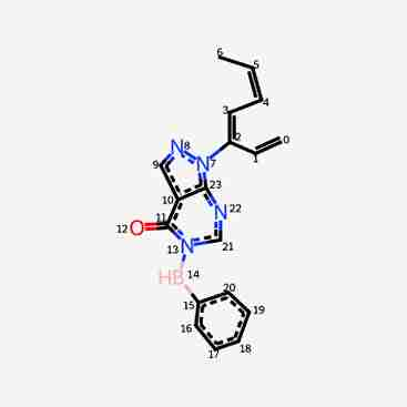 C=C/C(=C\C=C/C)n1ncc2c(=O)n(Bc3ccccc3)cnc21